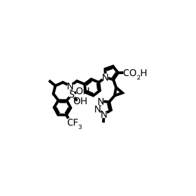 CC1Cc2ccc(C(F)(F)F)cc2S(O)(O)N(Cc2cccc(-n3ccc(C(=O)O)c3C3CC3c3cn(C)nn3)c2)C1